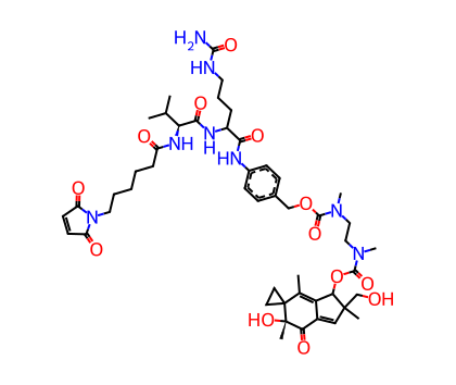 CC1=C2C(=CC(C)(CO)C2OC(=O)N(C)CCN(C)C(=O)OCc2ccc(NC(=O)C(CCCNC(N)=O)NC(=O)[C@@H](NC(=O)CCCCCN3C(=O)C=CC3=O)C(C)C)cc2)C(=O)[C@](C)(O)C12CC2